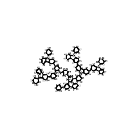 c1ccc(-c2ccc(-c3ccccc3)c(-c3cc(-c4cccc(-n5c6ccc(-c7ccc8c(c7)c7ccccc7n8-c7ccccc7)cc6c6cc(-c7ccc8c(c7)c7ccccc7n8-c7ccccc7)ccc65)c4)nc(-c4cccc(Nc5ccc(-c6ccc7c(c6)c6ccccc6n7-c6ccccc6)cc5-c5cccc(-c6ccc7c(c6)c6ccccc6n7-c6ccccc6)c5)c4)n3)c2)cc1